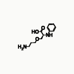 NCCCOC[C@H](Nc1ccccc1)C(=O)O